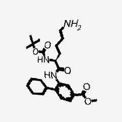 COC(=O)c1ccc(C2CCCCC2)c(NC(=O)[C@H](CCCCN)NC(=O)OC(C)(C)C)c1